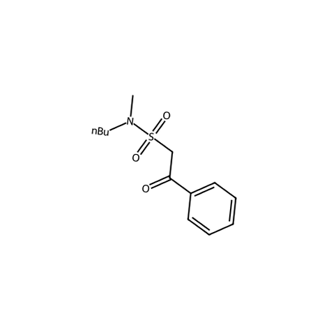 CCCCN(C)S(=O)(=O)CC(=O)c1ccccc1